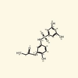 CCC(=O)Nc1cc(NS(=O)(=O)c2cc(O)nc(O)n2)ccc1O